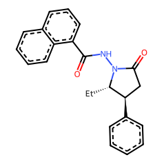 CC[C@H]1[C@H](c2ccccc2)CC(=O)N1NC(=O)c1cccc2ccccc12